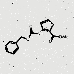 COC(=O)c1sccc1NC(=O)OCc1ccccc1